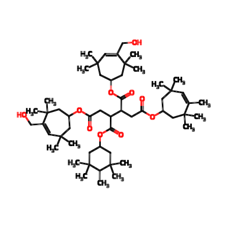 CC1=CC(C)(C)CC(OC(=O)CC(C(=O)OC2CC(C)(C)C=C(CO)C(C)(C)C2)C(CC(=O)OC2CC(C)(C)C=C(CO)C(C)(C)C2)C(=O)OC2CC(C)(C)C(C)C(C)(C)C2)CC1(C)C